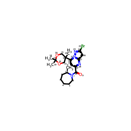 C[C@@H]1CCCCCN1C(=O)c1cc(C2(C)COC(C)(C)OC2)n2nc(Br)cc2n1